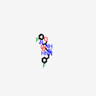 CN1C(=O)C(NC(=O)c2nnc(Cc3cccc(F)c3)[nH]2)COc2cccc(F)c21